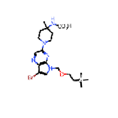 CC1(NC(=O)O)CCN(c2cnc3c(Br)cn(COCC[Si](C)(C)C)c3n2)CC1